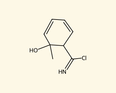 CC1(O)C=CC=CC1C(=N)Cl